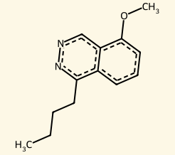 CCCCc1nncc2c(OC)cccc12